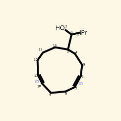 CC(C)C(O)C1CC/C=C\CC/C=C\CCC1